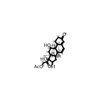 CCC1C[C@H]2[C@@H]3C=CC4=CC(=O)CC[C@]4(C)[C@H]3C(O)C[C@]2(C)[C@@]1(O)C(=O)COC(C)=O